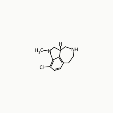 CN1C[C@@H]2CNCCc3ccc(Cl)c1c32